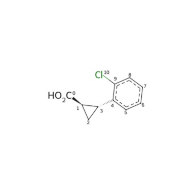 O=C(O)[C@@H]1C[C@H]1c1ccccc1Cl